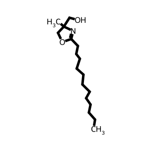 CCCCCCCCCCCCC1=NC(C)(CO)CO1